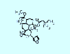 COC(=O)[C@@H]1C[C@H](OC(=O)CN(C)C)C(=O)C2[C@@]1(C)CC[C@H]1C(=O)O[C@H](c3ccoc3)C[C@]21C